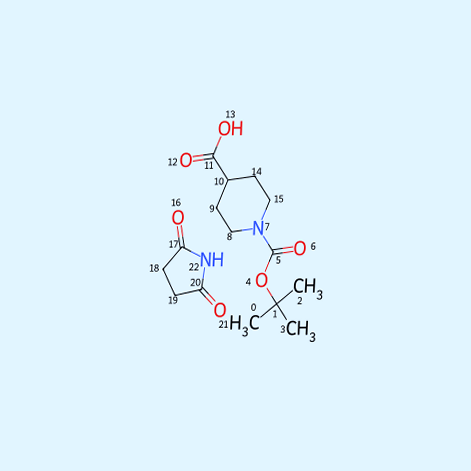 CC(C)(C)OC(=O)N1CCC(C(=O)O)CC1.O=C1CCC(=O)N1